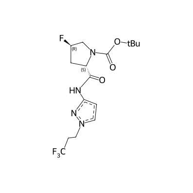 CC(C)(C)OC(=O)N1C[C@H](F)C[C@H]1C(=O)Nc1ccn(CCC(F)(F)F)n1